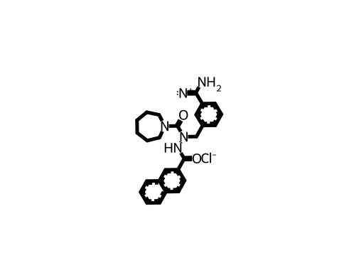 [Cl-].[N+]=C(N)c1cccc(CN(NC(=O)c2ccc3ccccc3c2)C(=O)N2CCCCCC2)c1